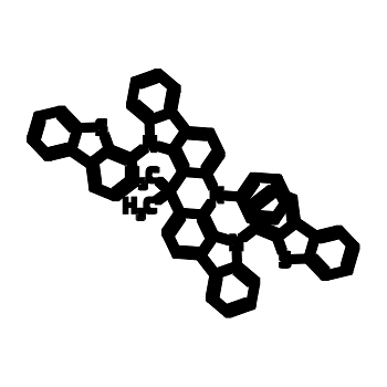 CC1(C)c2ccc3c4ccccc4n(-c4cccc5c4sc4ccccc45)c3c2N(c2ccccc2)c2ccc3c4ccccc4n(-c4cccc5c4sc4ccccc45)c3c21